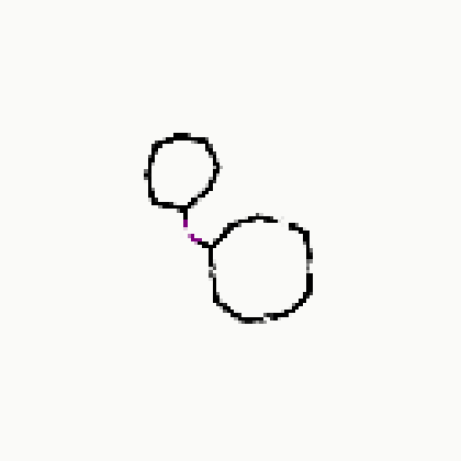 C1CCCCCC(PC2CCCCCCC2)CCCCC1